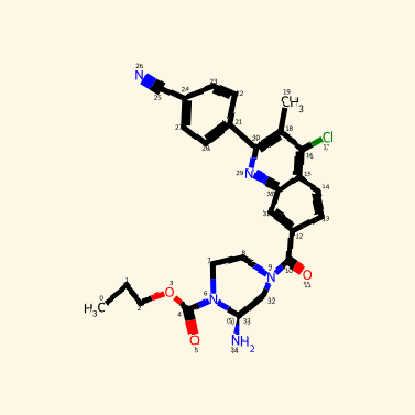 CCCOC(=O)N1CCN(C(=O)c2ccc3c(Cl)c(C)c(-c4ccc(C#N)cc4)nc3c2)C[C@H]1N